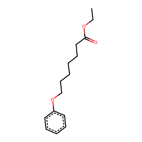 CCOC(=O)CCCCCCOc1ccccc1